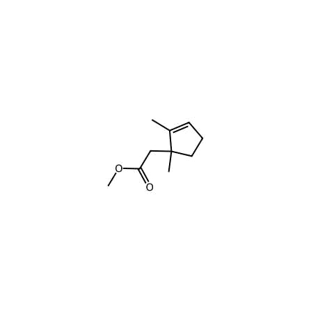 COC(=O)CC1(C)CCC=C1C